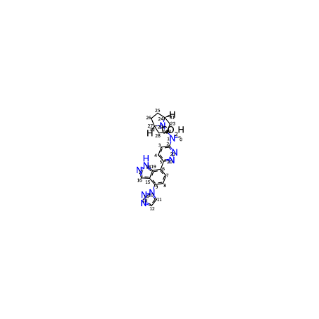 CN(c1ccc(-c2ccc(-n3ccnn3)c3cn[nH]c23)nn1)C1C[C@H]2CC[C@@H](C1)N2C(=O)O